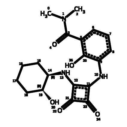 CN(C)C(=O)c1cccc(Nc2c(N[C@@H]3CCCC[C@H]3O)c(=O)c2=O)c1O